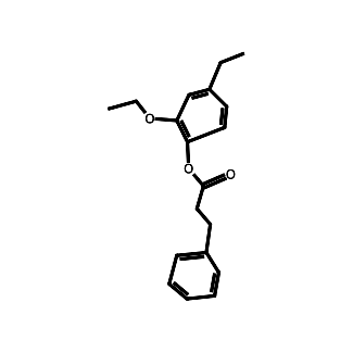 CCOc1cc(CC)ccc1OC(=O)CCc1ccccc1